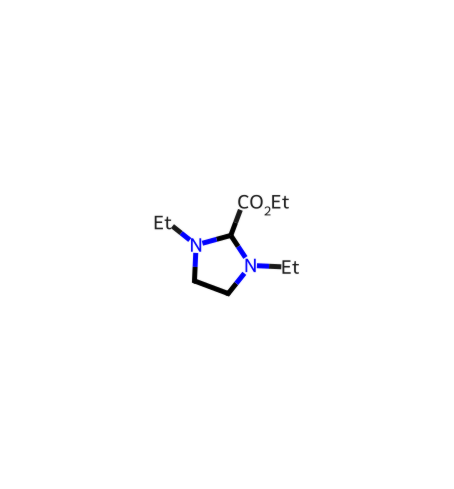 CCOC(=O)C1N(CC)CCN1CC